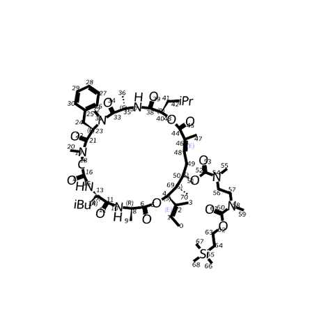 C/C=C(\C)[C@H]1OC(=O)[C@@H](C)NC(=O)[C@H]([C@H](C)CC)NC(=O)CN(C)C(=O)[C@@H](Cc2ccccc2)N(C)C(=O)[C@H](C)NC(=O)[C@@H](CC(C)C)OC(=O)/C(C)=C/C[C@H](OC(=O)N(C)CCN(C)C(=O)OCC[Si](C)(C)C)[C@@H]1C